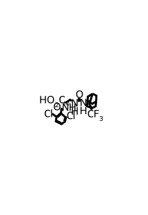 O=C(NC[C@H](NC(=O)c1c(Cl)cccc1Cl)C(=O)O)NC12CC3CC(C1)CC(C(F)(F)F)(C3)C2